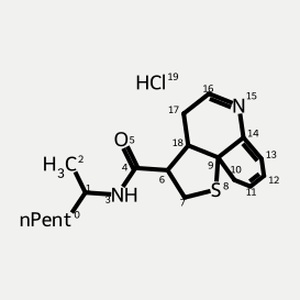 CCCCCC(C)NC(=O)C1CSC23CC=CC=C2N=CCC13.Cl